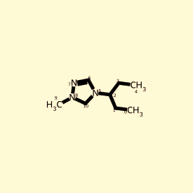 CCC(CC)N1C=NN(C)C1